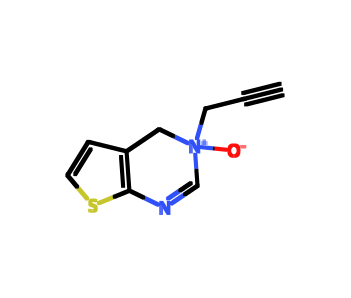 C#CC[N+]1([O-])C=Nc2sccc2C1